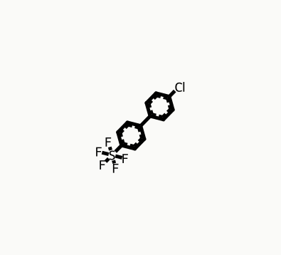 FS(F)(F)(F)(F)c1ccc(-c2ccc(Cl)cc2)cc1